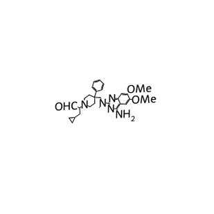 COc1cc2nc(N(C)CC3(c4ccccc4)CCN(C(C=O)CC4CC4)CC3)nc(N)c2cc1OC